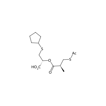 CC(=O)SC[C@@H](C)C(=O)O[C@@H](CSC1CCCC1)C(=O)O